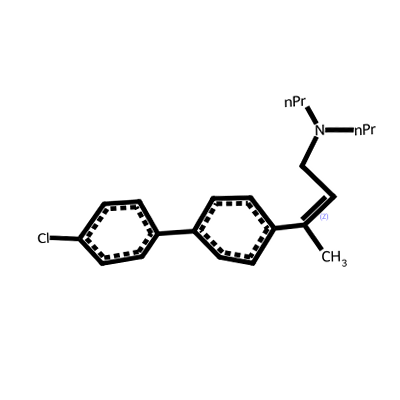 CCCN(C/C=C(/C)c1ccc(-c2ccc(Cl)cc2)cc1)CCC